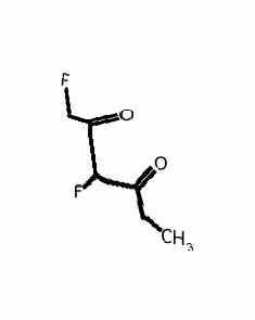 CCC(=O)C(F)C(=O)CF